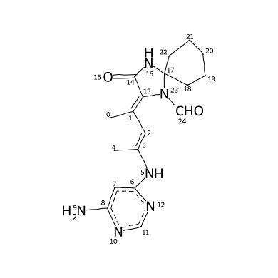 CC(/C=C(\C)Nc1cc(N)ncn1)=C1\C(=O)NC2(CCCCC2)N1C=O